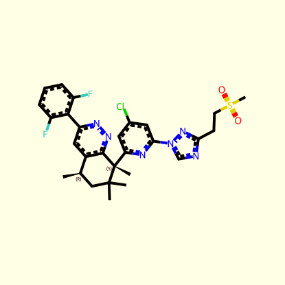 C[C@@H]1CC(C)(C)[C@@](C)(c2cc(Cl)cc(-n3cnc(CCS(C)(=O)=O)n3)n2)c2nnc(-c3c(F)cccc3F)cc21